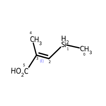 C[SiH2]/C=C(\C)C(=O)O